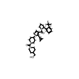 O=C(N1CCC(CO)CC1)N1CCC(n2ncc(C(=O)N3CCCC3c3ccccc3C(F)(F)F)c2C2CC2)CC1